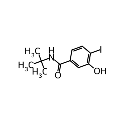 CC(C)(C)NC(=O)c1ccc(I)c(O)c1